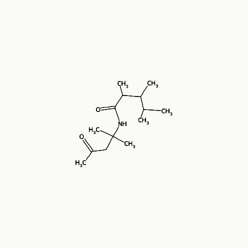 CC(=O)CC(C)(C)NC(=O)C(C)C(C)C(C)C